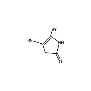 CC(C)C1=C(C(C)(C)C)CC(=O)N1